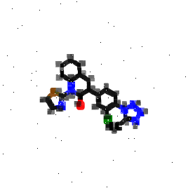 Cc1nnnn1-c1ccc(C(CC2CCCCC2)C(=O)Nc2nccs2)cc1Cl